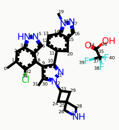 Cc1cc2[nH]ncc2c(-c2c(-c3ccc4c(cnn4C)c3)nn(C3CC4(CNC4)C3)c2C)c1Cl.O=C(O)C(F)(F)F